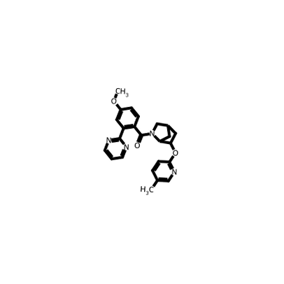 COc1ccc(C(=O)N2CC3CC(Oc4ccc(C)cn4)C2C3)c(-c2ncccn2)c1